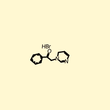 Br.O=C(CN1C=NC=CC1)c1ccccc1